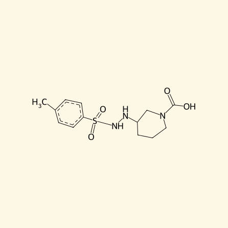 Cc1ccc(S(=O)(=O)NNC2CCCN(C(=O)O)C2)cc1